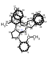 COc1ccccc1N1CCN(c2c(C)cc(C)cc2C)/C1=[N]\[Ti]([CH2]c1ccccc1)([CH2]c1ccccc1)[CH2]c1ccccc1